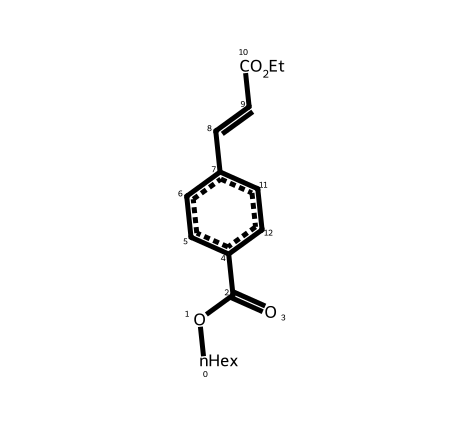 [CH2]CCCCCOC(=O)c1ccc(/C=C/C(=O)OCC)cc1